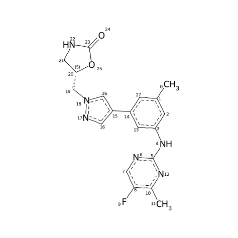 Cc1cc(Nc2ncc(F)c(C)n2)cc(-c2cnn(C[C@@H]3CNC(=O)O3)c2)c1